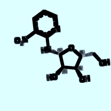 O=[N+]([O-])c1cccnc1N[C@@H]1O[C@H](CO)[C@@H](O)[C@H]1O